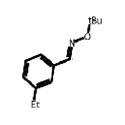 CCc1cccc(/[C]=N/OC(C)(C)C)c1